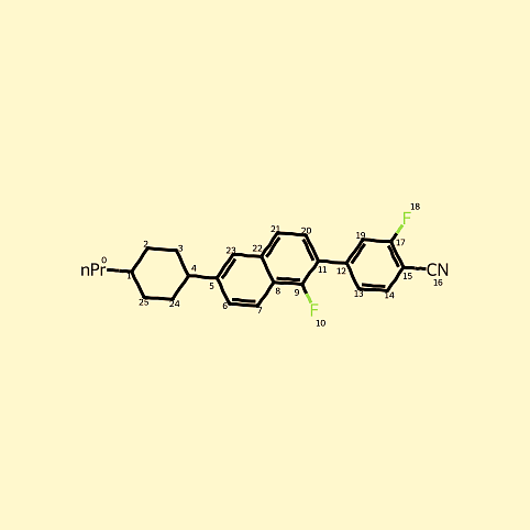 CCCC1CCC(c2ccc3c(F)c(-c4ccc(C#N)c(F)c4)ccc3c2)CC1